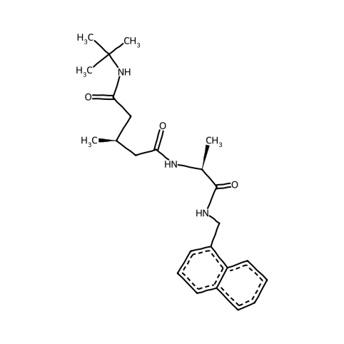 C[C@H](CC(=O)N[C@@H](C)C(=O)NCc1cccc2ccccc12)CC(=O)NC(C)(C)C